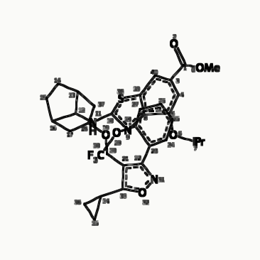 COC(=O)c1cc(OC(C)C)c2nc(NC3C4CCC3CC(OCc3c(-c5ccccc5OC(F)(F)F)noc3C3CC3)C4)sc2c1